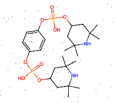 CC1(C)CC(OP(=O)(O)Oc2ccc(OP(=O)(O)OC3CC(C)(C)NC(C)(C)C3)cc2)CC(C)(C)N1